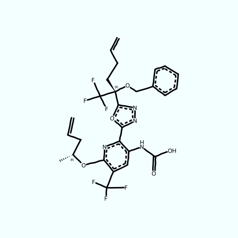 C=CCC[C@@](OCc1ccccc1)(c1nnc(-c2nc(O[C@H](C)CC=C)c(C(F)(F)F)cc2NC(=O)O)o1)C(F)(F)F